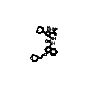 CNC(=O)c1[nH]c(C2CCCCC2)cc1NC(=O)Nc1ccc(OCCN2CCOCC2)c2ccccc12